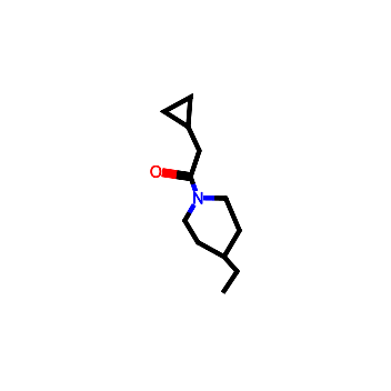 CCC1CCN(C(=O)CC2CC2)CC1